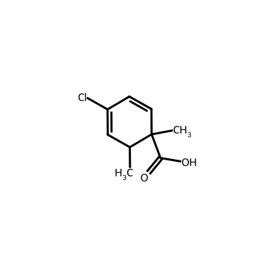 CC1C=C(Cl)C=CC1(C)C(=O)O